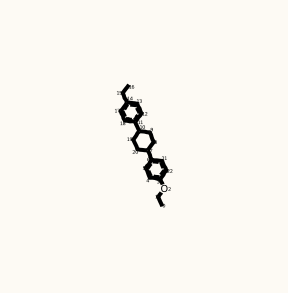 CCOc1ccc(C2CCC(c3ccc(CC)cc3)CC2)cc1